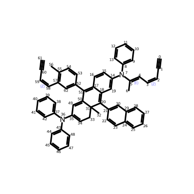 C#C/C=C\C=C(/C)N(c1ccccc1)c1ccc2c(c1)=C(c1ccc3ccccc3c1)C1(C)CC=C(N(c3ccccc3)c3ccccc3)C=C1C=2c1ccc(C)c(/C=C\C#C)c1